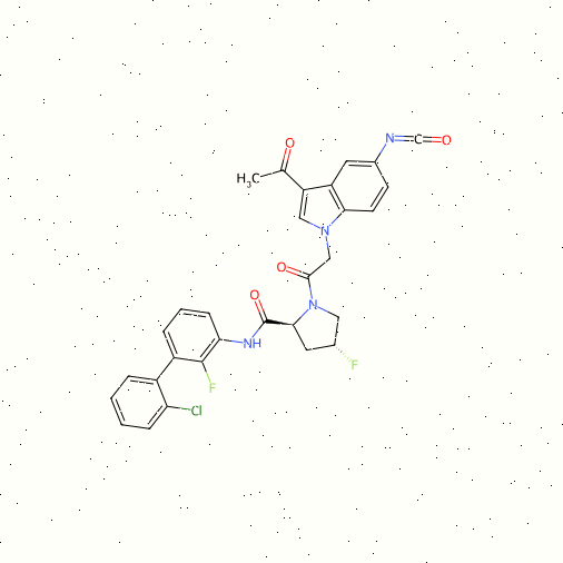 CC(=O)c1cn(CC(=O)N2C[C@H](F)C[C@H]2C(=O)Nc2cccc(-c3ccccc3Cl)c2F)c2ccc(N=C=O)cc12